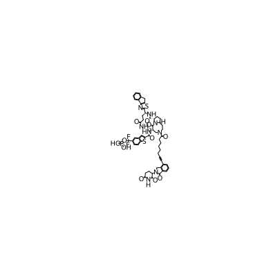 NC(=O)CC[C@H](NC(=O)[C@@H]1CC[C@@H]2CCN(C(=O)CCCCCC#Cc3cccc4c3CN(C3CCC(=O)NC3=O)C4=O)C[C@H](NC(=O)c3cc4cc(C(F)(F)OP(O)O)ccc4s3)C(=O)N21)c1nc2c(s1)Cc1ccccc1-2